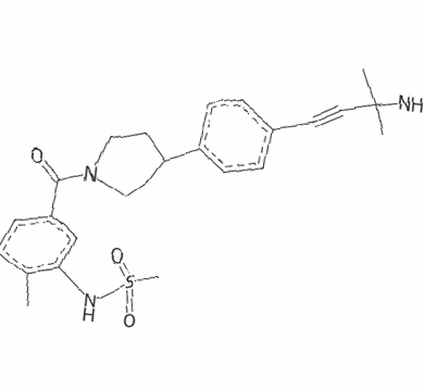 Cc1ccc(C(=O)N2CCC(c3ccc(C#CC(C)(C)N)cc3)CC2)cc1NS(C)(=O)=O